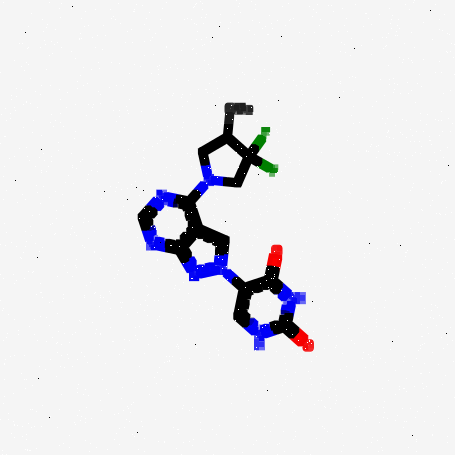 COC1CN(c2ncnc3nn(-c4c[nH]c(=O)[nH]c4=O)cc23)CC1(F)F